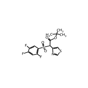 CC(C)(C)OC(=O)C(c1cscn1)S(=O)(=O)c1cc(F)c(F)cc1F